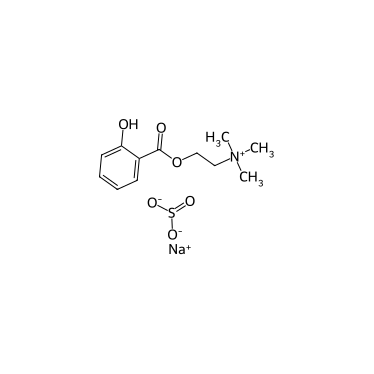 C[N+](C)(C)CCOC(=O)c1ccccc1O.O=S([O-])[O-].[Na+]